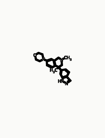 CN1Cc2cc(N3CCOCC3)ccc2C(C)(c2ccc3cn[nH]c3c2)C1